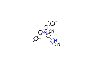 Cc1ccc(-c2ccc3c4ccc(-c5ccc(C)cc5C)cc4n(-c4ccc(-c5cnc(C#N)nc5)cc4C#N)c3c2)c(C)c1